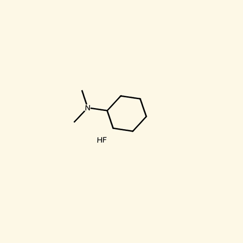 CN(C)C1CCCCC1.F